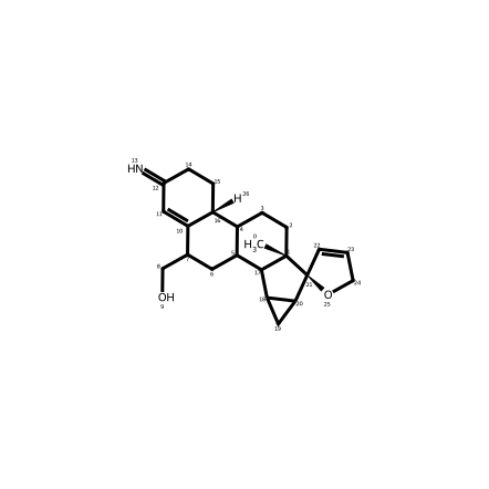 C[C@]12CCC3C(CC(CO)C4=CC(=N)CC[C@@H]43)C1C1CC1[C@@]21C=CCO1